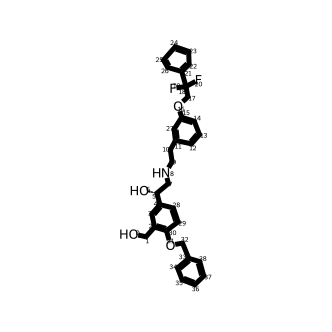 OCc1cc([C@H](O)CNCCc2cccc(OCC(F)(F)c3ccccc3)c2)ccc1OCc1ccccc1